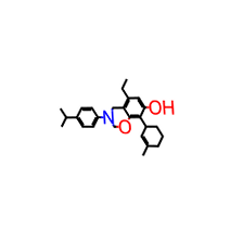 CCc1cc(O)c(C2C=C(C)CCC2)c2c1CN(c1ccc(C(C)C)cc1)CO2